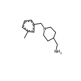 Cc1cccc(CN2CCC(CN)CC2)c1